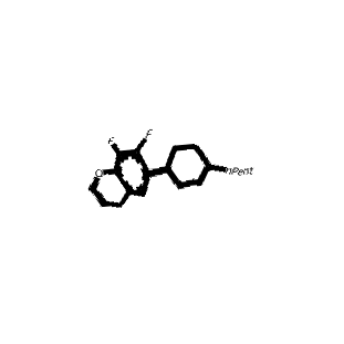 CCCCCC1CCC(c2cc3c(c(F)c2F)OCCC3)CC1